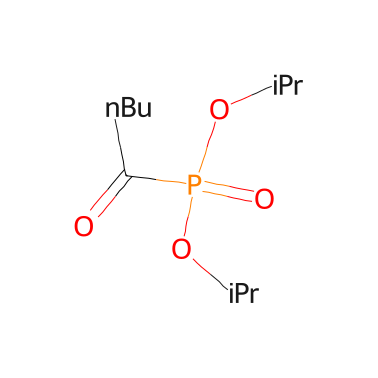 CCCCC(=O)P(=O)(OC(C)C)OC(C)C